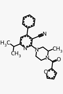 CC(C)c1cc(-c2ccccc2)c(C#N)c(N2CCN(C(=O)c3ccco3)C(C)C2)n1